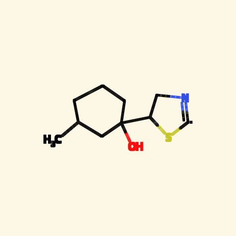 CC1CCCC(O)(C2CN=[C]S2)C1